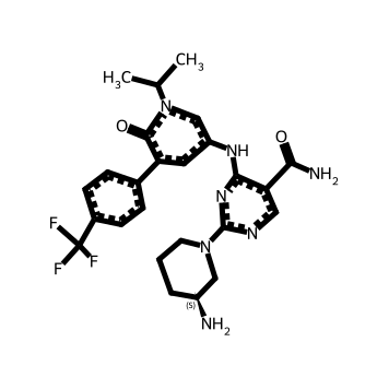 CC(C)n1cc(Nc2nc(N3CCC[C@H](N)C3)ncc2C(N)=O)cc(-c2ccc(C(F)(F)F)cc2)c1=O